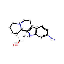 C[C@@]12c3[nH]c4cc(N)ccc4c3CCN1CCC[C@H]2CO